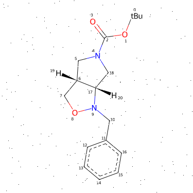 CC(C)(C)OC(=O)N1C[C@H]2CON(Cc3ccccc3)[C@H]2C1